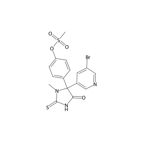 CN1C(=S)NC(=O)C1(c1ccc(OS(C)(=O)=O)cc1)c1cncc(Br)c1